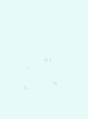 C1=Nc2c(ncnc2NCc2ccccc2)C1